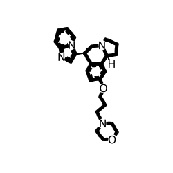 c1ccn2c([C@H]3CN4CCC[C@H]4c4cc(OCCCN5CCOCC5)ccc43)cnc2c1